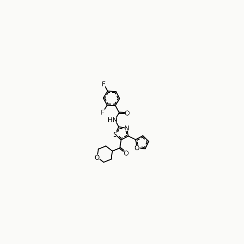 O=C(Nc1nc(-c2ccco2)c(C(=O)C2CCOCC2)s1)c1ccc(F)cc1F